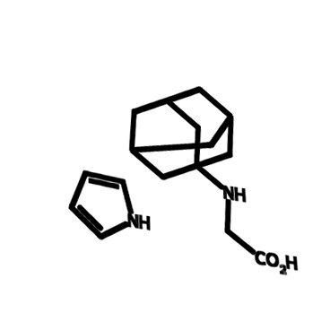 O=C(O)CNC12CC3CC(CC(C3)C1)C2.c1cc[nH]c1